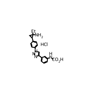 CCC1(N)CC1c1ccc(-n2cc(-c3cccc(NC(=O)O)c3)nn2)cc1.Cl